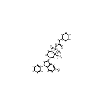 CC1(C)CN([C@@H]2C[C@@H](c3ccccc3)c3ccc(Cl)cc32)CC[N@+]1(C)COC(=O)CC1CCCCC1